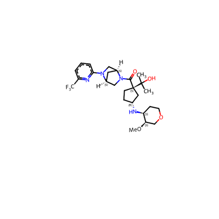 CO[C@@H]1COCC[C@@H]1N[C@@H]1CC[C@@](C(=O)N2C[C@@H]3C[C@H]2CN3c2cccc(C(F)(F)F)n2)(C(C)(C)O)C1